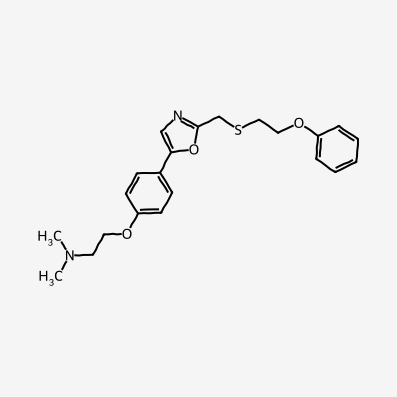 CN(C)CCOc1ccc(-c2cnc(CSCCOc3ccccc3)o2)cc1